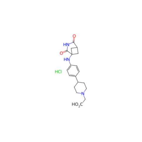 Cl.O=C(O)CN1CCC(c2ccc(NC34CC(C3)C(=O)NC4=O)cc2)CC1